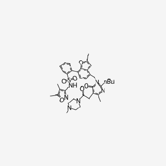 CCCCc1nc(C)c(CC(=O)N2CCN(C)CC2)c(=O)n1Cc1ccc(-c2ccccc2S(=O)(=O)Nc2noc(C)c2C)c2oc(C)cc12